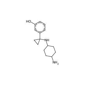 NC1CCC(NC2(c3cccc(O)c3)CC2)CC1